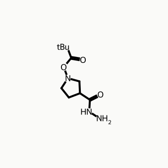 CC(C)(C)C(=O)ON1CCC(C(=O)NN)C1